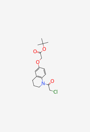 CC(C)(C)OC(=O)COc1ccc2c(c1)CCCN2C(=O)CCl